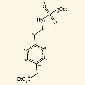 CCCCCCCCS(=O)(=O)NCCc1ccc(CC(=O)OCC)cc1